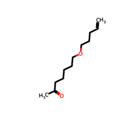 C=CCCCOCCCCCC(C)=O